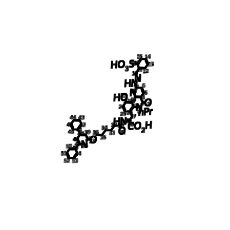 CCCN(C(=O)c1ccc(NN=Cc2ccccc2S(=O)(=O)O)nc1)c1cc(O)ccc1C[C@H](NC(=O)CCCCCOc1cc(-c2ccccc2)cc(-c2ccccc2)n1)C(=O)O